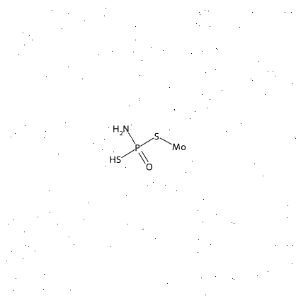 NP(=O)(S)[S][Mo]